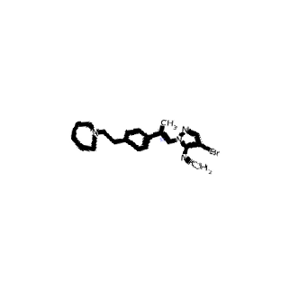 C=Nc1c(Br)cnn1/C=C(\C)c1ccc(CCN2CCCCC2)cc1